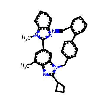 Cc1cc(-c2nc3ccccc3n2C)cc2c1nc(C1CCC1)n2Cc1ccc(-c2ccccc2C#N)cc1